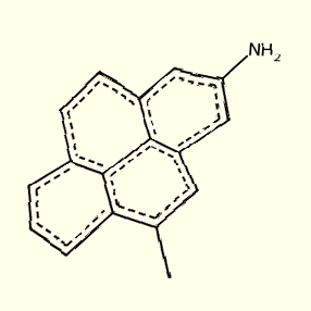 Cc1cc2cc(N)cc3ccc4cccc1c4c32